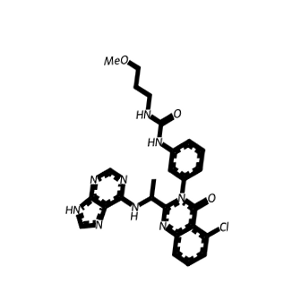 COCCCNC(=O)Nc1cccc(-n2c(C(C)Nc3ncnc4[nH]cnc34)nc3cccc(Cl)c3c2=O)c1